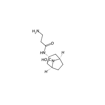 NCCC(=O)N[C@@H]1C[C@H]2CC[C@@H](C1)N2C(=O)O